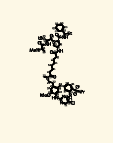 CC[C@@H](NC(=O)[C@@H]1C[C@H](NC(=O)CCCCCCC(=O)N(C)CCc2cc(OC)c(Nc3ncc(Cl)c(Nc4ccccc4S(=O)(=O)C(C)C)n3)cc2C)CN1C(=O)[C@@H](NC(=O)[C@H](C)NC)C(C)(C)C)c1ccccc1